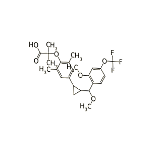 COc1cc(OC(F)(F)F)ccc1C(OC)C1CC1c1cc(C)c(OC(C)(C)C(=O)O)c(C)c1